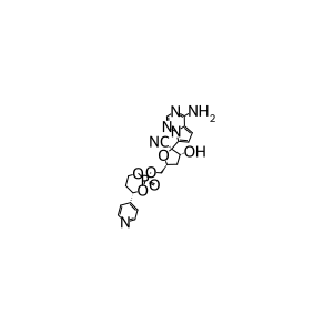 N#C[C@@]1(c2ccc3c(N)ncnn23)O[C@H](CO[P@@]2(=O)OCC[C@@H](c3ccncc3)O2)C[C@H]1O